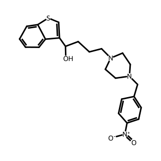 O=[N+]([O-])c1ccc(CN2CCN(CCCC(O)c3csc4ccccc34)CC2)cc1